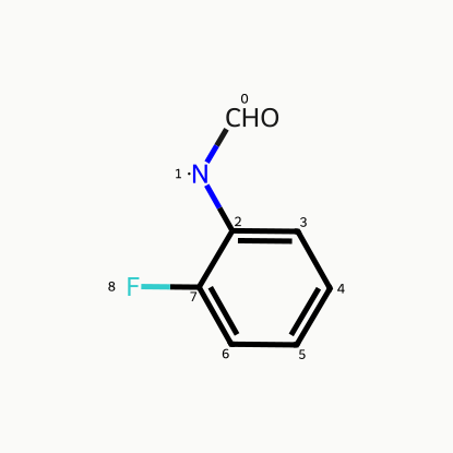 O=C[N]c1ccccc1F